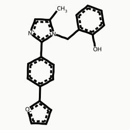 Cc1cnc(-c2ccc(-c3ccco3)cc2)n1Cc1ccccc1O